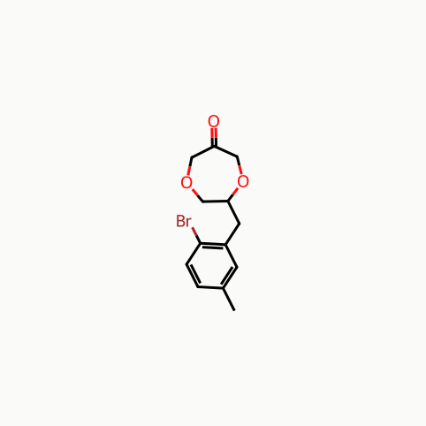 Cc1ccc(Br)c(CC2COCC(=O)CO2)c1